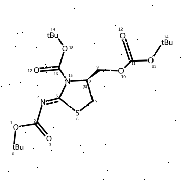 CC(C)(C)OC(=O)N=C1SC[C@H](COC(=O)OC(C)(C)C)N1C(=O)OC(C)(C)C